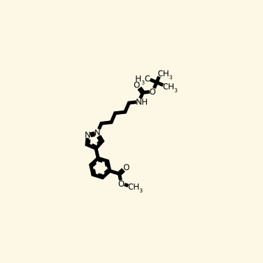 COC(=O)c1cccc(-c2cnn(CCCCCNC(=O)OC(C)(C)C)c2)c1